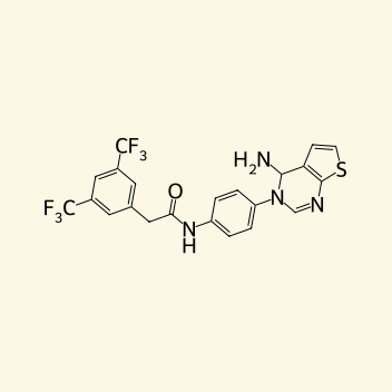 NC1c2ccsc2N=CN1c1ccc(NC(=O)Cc2cc(C(F)(F)F)cc(C(F)(F)F)c2)cc1